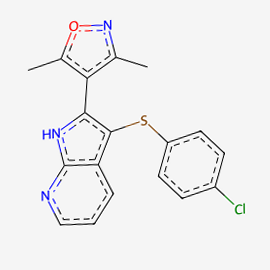 Cc1noc(C)c1-c1[nH]c2ncccc2c1Sc1ccc(Cl)cc1